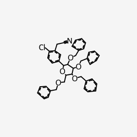 N#CCc1cc(C2OC(COCc3ccccc3)C(OCc3ccccc3)C(OCc3ccccc3)C2OCc2ccccc2)ccc1Cl